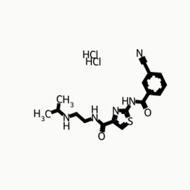 CC(C)NCCNC(=O)c1csc(NC(=O)c2cccc(C#N)c2)n1.Cl.Cl